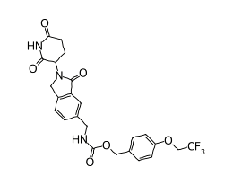 O=C1CCC(N2Cc3ccc(CNC(=O)OCc4ccc(OCC(F)(F)F)cc4)cc3C2=O)C(=O)N1